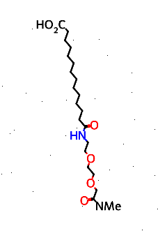 CNC(=O)COCCOCCNC(=O)CCCCCCCCCCCCC(=O)O